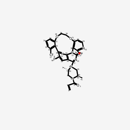 C=CC(=O)N1C[C@H](C)N(c2nc(=O)n3c4nc(c(F)cc24)-c2c(cccc2C(F)(F)F)OCCOc2ccnc(C(C)C)c2-3)C[C@H]1C